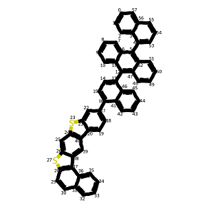 c1ccc2c(-c3c4ccccc4c(-c4ccc(-c5ccc6c(c5)sc5cc7sc8ccc9ccccc9c8c7cc56)c5ccccc45)c4ccccc34)cccc2c1